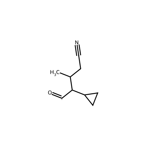 CC(CC#N)C([C]=O)C1CC1